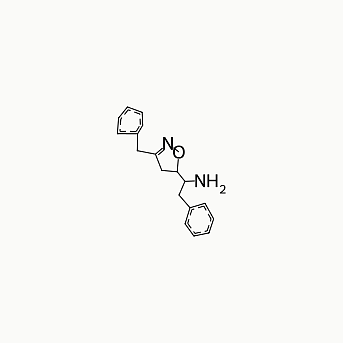 NC(Cc1ccccc1)C1CC(Cc2ccccc2)=NO1